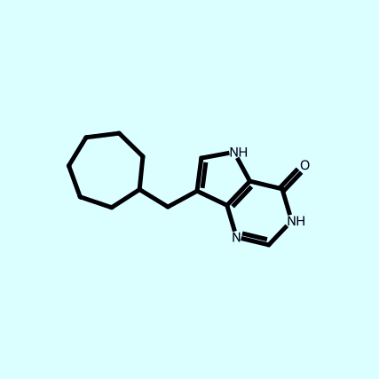 O=c1[nH]cnc2c(CC3CCCCCC3)c[nH]c12